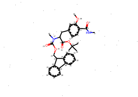 CNC(=O)c1ccc(CC(C(=O)OC(C)(C)C)N(C)C(=O)OCC2c3ccccc3-c3ccccc32)cc1OC